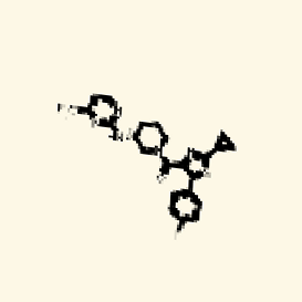 O=C(c1nc(C2CC2)sc1-c1ccc(F)cc1)N1CCC[C@@H](Nc2nccc(C(F)(F)F)n2)C1